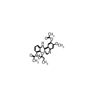 CCC(=O)Oc1c(NC(C)=O)cccc1Nc1ncnc2cc(OC)c(OC(C)=O)cc12